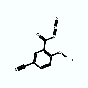 COc1ccc(C#N)cc1C(=O)N=C=S